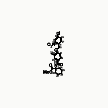 COC(=O)C1(NC(=O)c2ccc(OCc3ccc(Cl)cc3[N+](=O)[O-])c(C)c2)CCCCC1